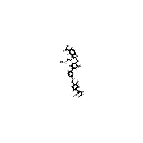 COCCn1c(Cc2cc(F)c(-c3cccc(OCc4ccc(-c5ccnn5C)cc4F)n3)cc2F)nc2ccc(C(=O)O)cc21